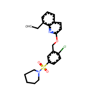 O=CCc1cccc2ccc(OCc3cc(S(=O)(=O)N4CCCCC4)ccc3Cl)nc12